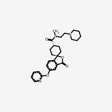 CN(CCN1CCCCC1)C(=O)[C@H]1CC[C@@]2(CC1)OC(=O)c1cc(Oc3ccccn3)ccc12